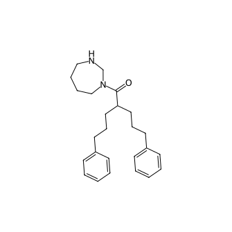 O=C(C(CCCc1ccccc1)CCCc1ccccc1)N1CCCCNC1